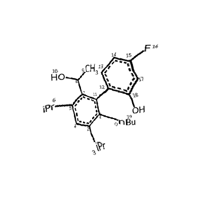 CCCCc1c(C(C)C)cc(C(C)C)c(C(C)O)c1-c1ccc(F)cc1O